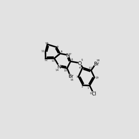 Clc1ccc(Oc2nc3ccccc3nc2Br)c(Br)c1